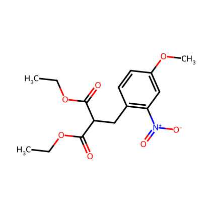 CCOC(=O)C(Cc1ccc(OC)cc1[N+](=O)[O-])C(=O)OCC